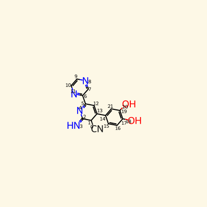 N#CC1C(=N)N=C(c2cnccn2)C=C1c1ccc(O)c(O)c1